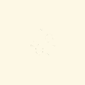 CC(NC1CCc2[nH]c3ccc(N)cc3c2C1)c1ccc([N+](=O)[O-])cc1